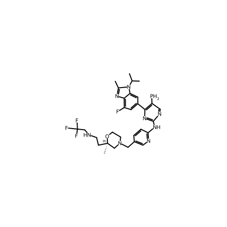 Cc1nc2c(F)cc(-c3nc(Nc4ccc(CN5CCO[C@](C)(CCNCC(F)(F)F)C5)cn4)ncc3P)cc2n1C(C)C